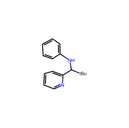 CC(C)(C)C(Nc1ccccc1)c1ccccn1